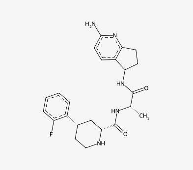 C[C@H](NC(=O)[C@H]1C[C@@H](c2ccccc2F)CCN1)C(=O)NC1CCc2nc(N)ccc21